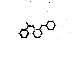 CC(=CN1CCCCC1CC1CCCCC1)c1ccccc1